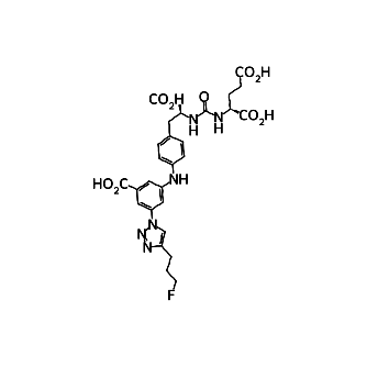 O=C(O)CC[C@H](NC(=O)N[C@@H](Cc1ccc(Nc2cc(C(=O)O)cc(-n3cc(CCCF)nn3)c2)cc1)C(=O)O)C(=O)O